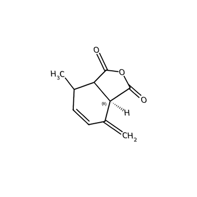 C=C1C=CC(C)C2C(=O)OC(=O)[C@@H]12